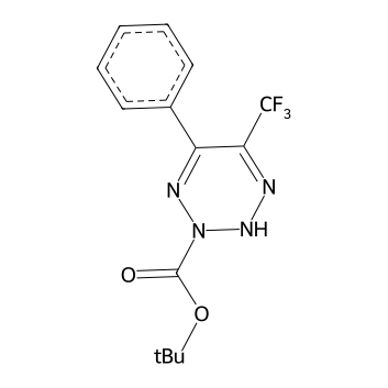 CC(C)(C)OC(=O)N1N=C(c2ccccc2)C(C(F)(F)F)=NN1